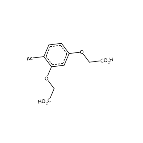 CC(=O)c1ccc(OCC(=O)O)cc1OCC(=O)O